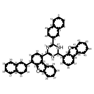 c1ccc2cc(C3=NC(c4ccc(-c5ccc6ccccc6c5)c5oc6ccccc6c45)=NC(c4cccc5c4oc4ccccc45)N3)ccc2c1